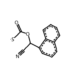 N#CC(OC(=O)[S])c1cccc2ccccc12